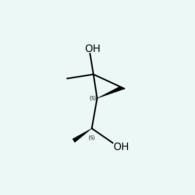 C[C@H](O)[C@@H]1CC1(C)O